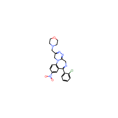 O=[N+]([O-])c1ccc2c(c1)C(c1ccccc1Cl)=NCC1=NN=C(CN3CCOCC3)CN12